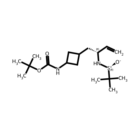 C=C[C@@H](CC1CC(NC(=O)OC(C)(C)C)C1)N[S@@+]([O-])C(C)(C)C